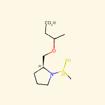 CC(CC(=O)O)OC[C@@H]1CCCN1[SH](C)S